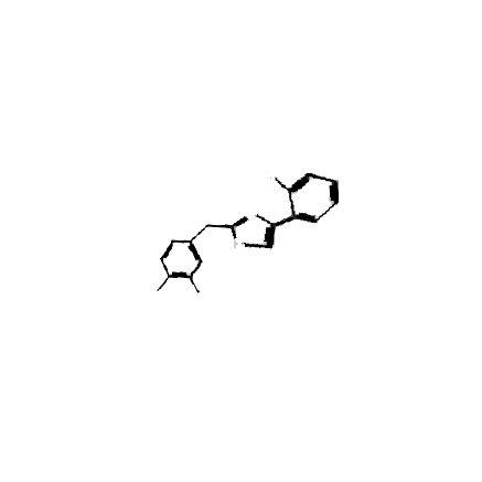 Clc1ccc(Cc2nc(-c3ccccc3Br)c[nH]2)cc1Cl